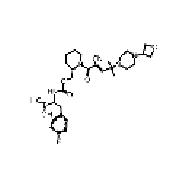 CC(C)(/C=C(\C#N)C(=O)N1CCCC[C@@H]1COC(=O)N[C@@H](Cc1ccc(F)cc1)B(O)O)N1CCN(C2COC2)CC1